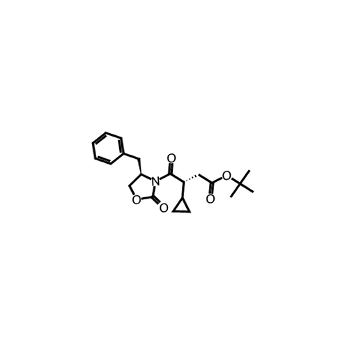 CC(C)(C)OC(=O)C[C@@H](C(=O)N1C(=O)OC[C@H]1Cc1ccccc1)C1CC1